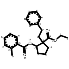 CCOC(=O)C1(CCc2ccccc2)CCCC1OC(=O)c1ccccc1C